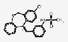 CS(=O)(=O)Nc1cccc(/C=C2\c3ccc(Cl)cc3CSc3ccccc32)c1